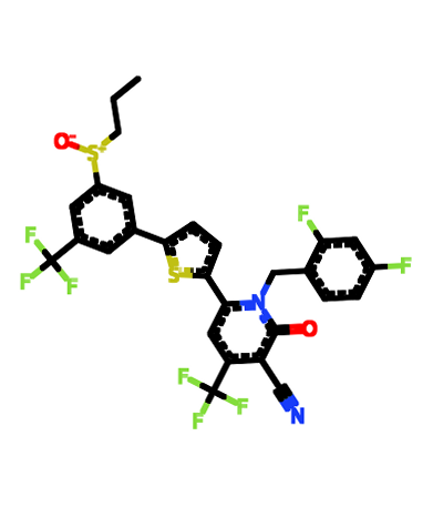 CCC[S+]([O-])c1cc(-c2ccc(-c3cc(C(F)(F)F)c(C#N)c(=O)n3Cc3ccc(F)cc3F)s2)cc(C(F)(F)F)c1